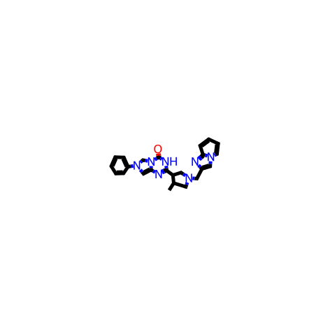 CC1CN(Cc2cn3ccccc3n2)CC1C1=NC2=CN(c3ccccc3)CN2C(=O)N1